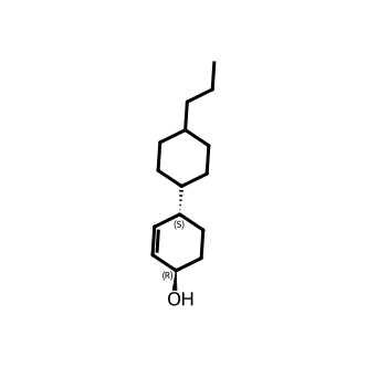 CCCC1CCC([C@H]2C=C[C@H](O)CC2)CC1